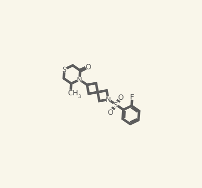 CC1CSCC(=O)N1C1CC2(C1)CN(S(=O)(=O)c1ccccc1F)C2